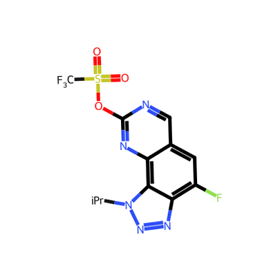 CC(C)n1nnc2c(F)cc3cnc(OS(=O)(=O)C(F)(F)F)nc3c21